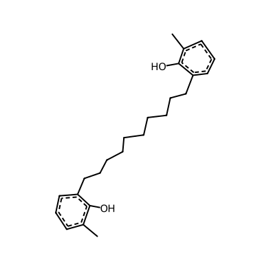 Cc1cccc(CCCCCCCCCCc2cccc(C)c2O)c1O